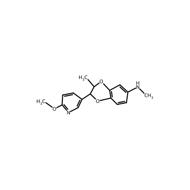 CNc1ccc2c(c1)OC(C)C(c1ccc(OC)nc1)O2